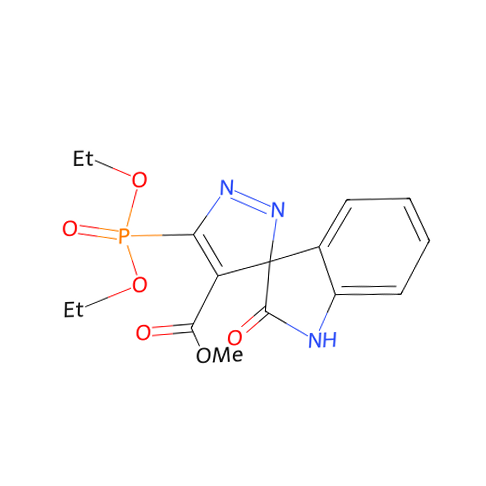 CCOP(=O)(OCC)C1=C(C(=O)OC)C2(N=N1)C(=O)Nc1ccccc12